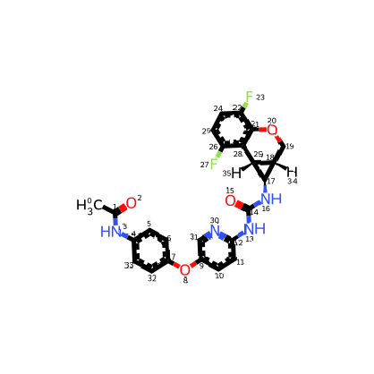 CC(=O)Nc1ccc(Oc2ccc(NC(=O)N[C@@H]3[C@H]4COc5c(F)ccc(F)c5[C@H]43)nc2)cc1